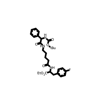 CCOC(=O)C(Cc1ccc(F)cc1)NC(=O)CCCCNC(=O)C(NC(=O)OC(C)(C)C)c1ccccc1